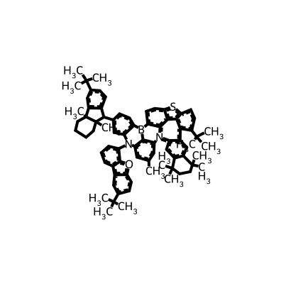 Cc1cc2c3c(c1)-n1c4cc5c(cc4c4c(C(C)(C)C)ccc6sc7ccc(c1c7c64)B3c1ccc(C3c4ccc(C(C)(C)C)cc4C4(C)CCCCC34C)cc1N2c1cccc2c1oc1ccc(C(C)(C)C)cc12)C(C)(C)CCC5(C)C